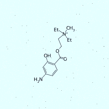 CC[N+](C)(CC)CCOC(=O)c1ccc(N)cc1O